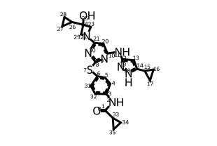 O=C(Nc1ccc(Sc2nc(Nc3cc(C4CC4)[nH]n3)cc(N3CC(O)(C4CC4)C3)n2)cc1)C1CC1